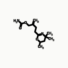 C=C(CCC1=NC(C)(C)CC(C)O1)COC(N)=O